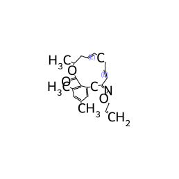 C=CCON=C1/C=C/CC/C=C/CC(C)OC(=O)c2c(C)cc(C)cc2C1